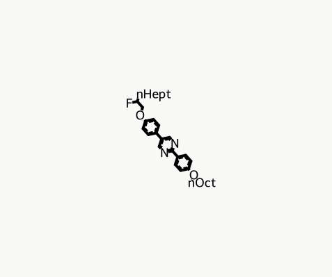 CCCCCCCCOc1ccc(-c2ncc(-c3ccc(OCC(F)CCCCCCC)cc3)cn2)cc1